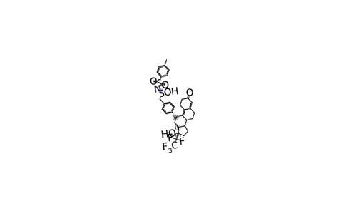 Cc1ccc(S(=O)(=O)/N=S(\O)Cc2ccc([C@H]3C[C@@]4(C)C(CC[C@]4(O)C(F)(F)C(F)(F)F)C4CCC5=CC(=O)CCC5=C43)cc2)cc1